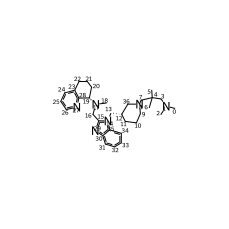 CN(C)CC(C)(C)CN1CCC[C@H](Cn2c(CN(C)[C@H]3CCCc4cccnc43)nc3ccccc32)C1